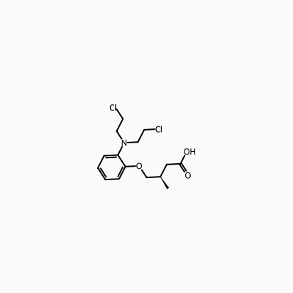 C[C@@H](COc1ccccc1N(CCCl)CCCl)CC(=O)O